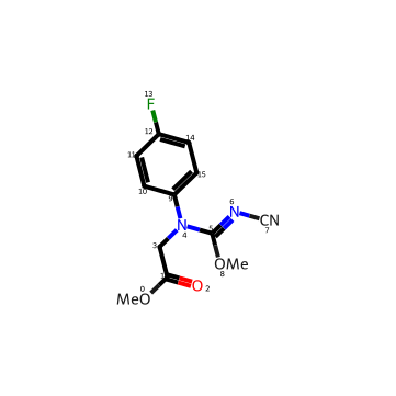 COC(=O)CN(C(=NC#N)OC)c1ccc(F)cc1